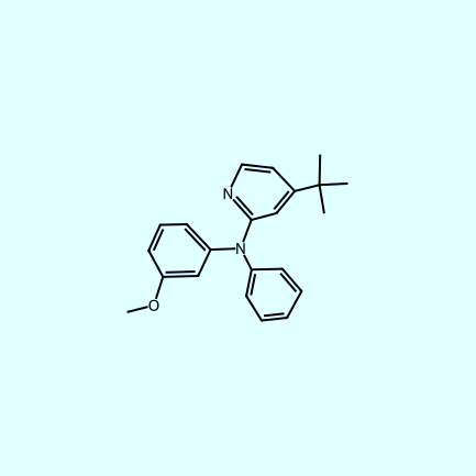 COc1cccc(N(c2ccccc2)c2cc(C(C)(C)C)ccn2)c1